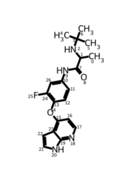 CC(NC(C)(C)C)C(=O)Nc1ccc(Oc2ccnc3[nH]ccc23)c(F)c1